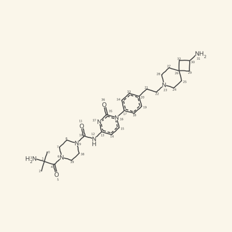 CC(C)(N)C(=O)N1CCN(C(=O)Nc2ccn(-c3ccc(CCN4CCC5(CC4)CC(N)C5)cc3)c(=O)n2)CC1